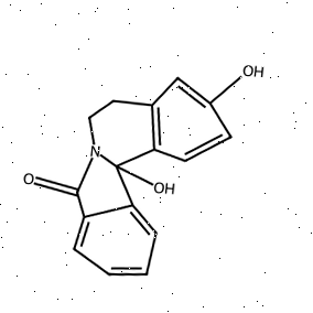 O=C1c2ccccc2C2(O)c3ccc(O)cc3CCN12